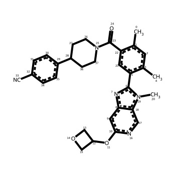 Cc1cc(C)c(-c2nc3cc(OC4COC4)ncc3n2C)cc1C(=O)N1CCC(c2ccc(C#N)cc2)CC1